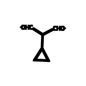 O=[C]C([C]=O)C1CC1